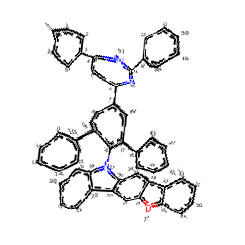 c1ccc(-c2cc(-c3cc(-c4ccccc4)c(-n4c5ccccc5c5cc6oc7ccccc7c6cc54)c(-c4ccccc4)c3)nc(-c3ccccc3)n2)cc1